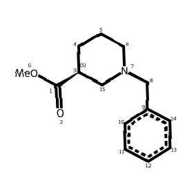 COC(=O)[C@H]1CCCN(Cc2ccccc2)C1